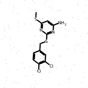 CSc1cc(N)nc(SCc2ccc(Cl)c(Cl)c2)n1